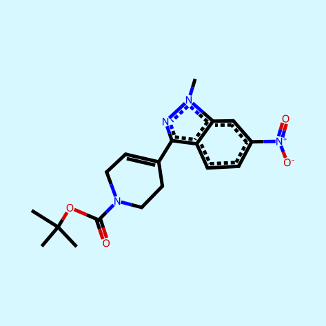 Cn1nc(C2=CCN(C(=O)OC(C)(C)C)CC2)c2ccc([N+](=O)[O-])cc21